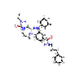 CCNC(=O)N1CCCN(c2ccc(C(=O)NCCCc3ccccc3)cc2Nc2ccccc2)CC1